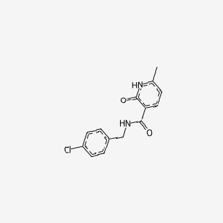 Cc1ccc(C(=O)NCc2ccc(Cl)cc2)c(=O)[nH]1